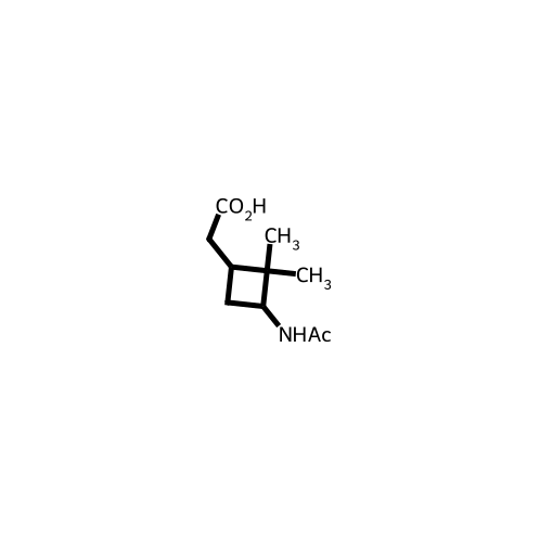 CC(=O)NC1CC(CC(=O)O)C1(C)C